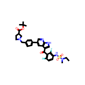 CCN(C)S(=O)(=O)Nc1ccc(F)c(C(=O)c2c[nH]c3ncc(-c4ccc(CN5CCC(C(=O)OC(C)(C)C)C5)cc4)cc23)c1F